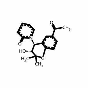 CC(=O)c1ccc2c(c1)[C@H](n1ccccc1=O)[C@@H](O)C(C)(C)O2